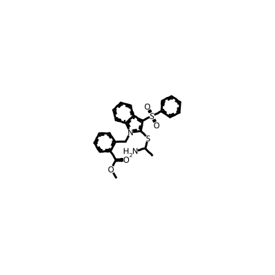 COC(=O)c1ccccc1Cn1c(SC(C)N)c(S(=O)(=O)c2ccccc2)c2ccccc21